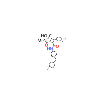 CNC(=O)C1C(C(=O)O)C(C(=O)O)C1C(=O)NC1CCC(CC2CCC(C)CC2)CC1